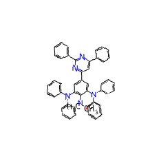 CN(C)c1c(N(c2ccccc2)c2ccccc2)cc(-c2cc(-c3ccccc3)nc(-c3ccccc3)n2)cc1N(c1ccccc1)c1ccccc1